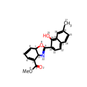 COC(=O)C1=CC=CC2OC(c3ccc4ccc(C)cc4c3O)=NC12